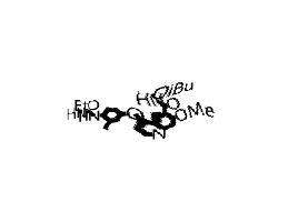 CCNC(=O)Nc1ccc(Oc2ccnc3cc(OC)c(C(=O)NOCC(C)C)cc23)cc1C